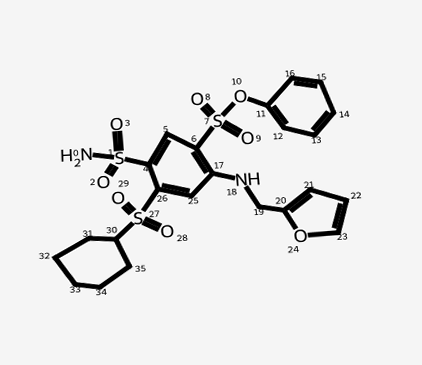 NS(=O)(=O)c1cc(S(=O)(=O)Oc2ccccc2)c(NCc2ccco2)cc1S(=O)(=O)C1CCCCC1